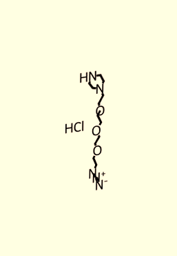 Cl.[N-]=[N+]=NCCOCCOCCOCCN1CCNCC1